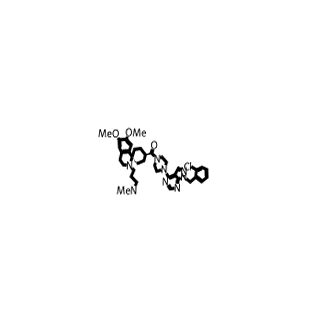 CNCCCN1CCc2cc(OC)c(OC)cc2[C@]12CC[C@H](C(=O)N1CCN(c3ncnc4c3cnn4Cc3ccccc3Cl)CC1)CC2